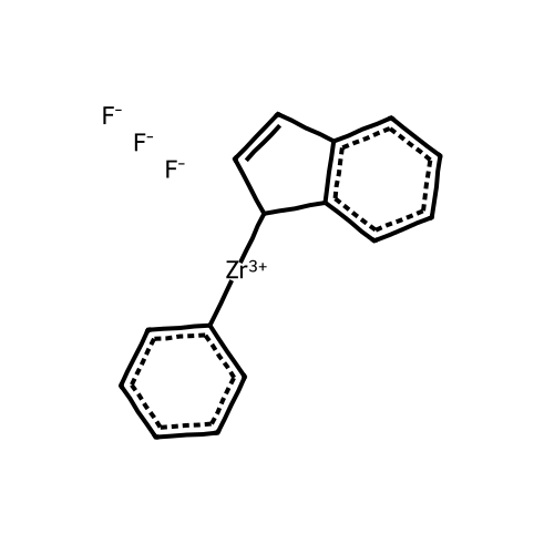 C1=C[CH]([Zr+3][c]2ccccc2)c2ccccc21.[F-].[F-].[F-]